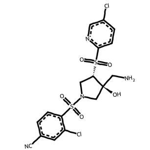 N#Cc1ccc(S(=O)(=O)N2C[C@H](S(=O)(=O)c3ccc(Cl)cn3)[C@](O)(CN)C2)c(Cl)c1